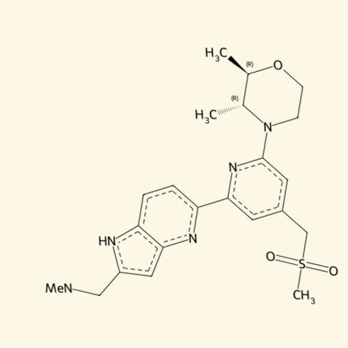 CNCc1cc2nc(-c3cc(CS(C)(=O)=O)cc(N4CCO[C@H](C)[C@H]4C)n3)ccc2[nH]1